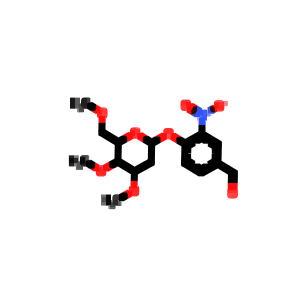 COCC1OC(Oc2ccc(C=O)cc2[N+](=O)[O-])CC(OC)C1OC